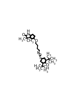 CC(C)(C)c1cc(SON=CCCCOc2ccc3c(c2)C(C)(C)C(=O)N3)cc(C(C)(C)C)c1O